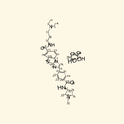 CCN(CC)CCCNC(=O)c1ccc2c(c1)sc1nc(-c3ccc(C(=O)NC4CCN(C)C4)cc3)cn12.O=CO.O=CO